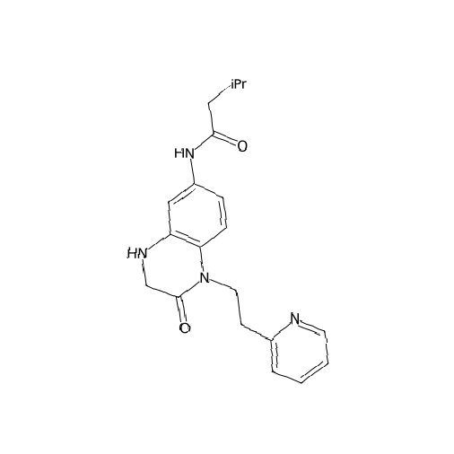 CC(C)CC(=O)Nc1ccc2c(c1)NCC(=O)N2CCc1ccccn1